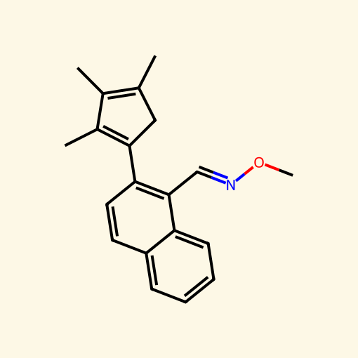 CON=Cc1c(C2=C(C)C(C)=C(C)C2)ccc2ccccc12